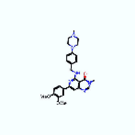 COc1ccc(-c2cc3ncn(C)c(=O)c3c(NCc3ccc(N4CCN(C)CC4)cc3)n2)cc1OC